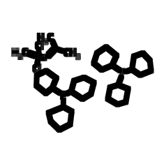 C1CCC(P(C2CCCCC2)C2CCCCC2)CC1.C1CCC(P(C2CCCCC2)C2CCCCC2)CC1.[CH2]=[Ru]([Cl])([Cl])[CH]=C(C)C